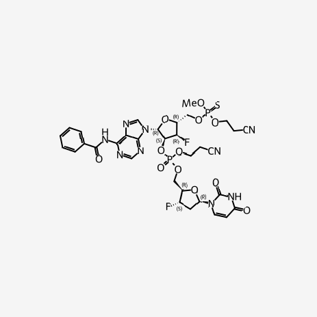 COP(=S)(OCCC#N)OC[C@H]1O[C@@H](n2cnc3c(NC(=O)c4ccccc4)ncnc32)[C@H](OP(=O)(OCCC#N)OC[C@H]2O[C@@H](n3ccc(=O)[nH]c3=O)C[C@@H]2F)[C@@H]1F